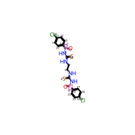 O=[PH](NC(=S)NCCNC(=S)N[PH](=O)c1ccc(Cl)cc1)c1ccc(Cl)cc1